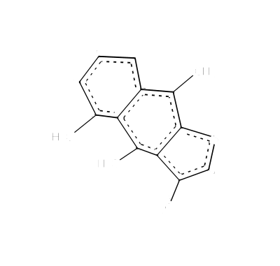 Cc1c2cccc(C)c2c(C)c2c(C)[c]sc12